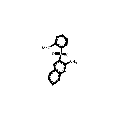 COc1ccccc1S(=O)(=O)c1cc2ccccc2nc1C